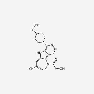 CC(C)O[C@H]1CC[C@H](C2=c3[nH]c4c(c3CN=N2)N(C(=O)CO)CC=C(Cl)C=4)CC1